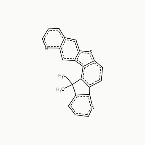 CC1(C)c2cccnc2-c2ccc3sc4cc5cccnc5cc4c3c21